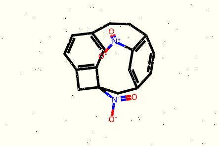 O=[N+]([O-])c1cc2ccc1CCc1ccc3c(c1)C([N+](=O)[O-])(C2)C3